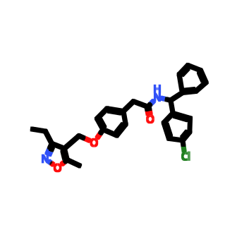 CCc1noc(C)c1COc1ccc(CC(=O)NC(c2ccccc2)c2ccc(Cl)cc2)cc1